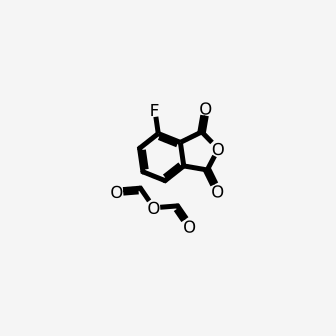 O=C1OC(=O)c2c(F)cccc21.O=COC=O